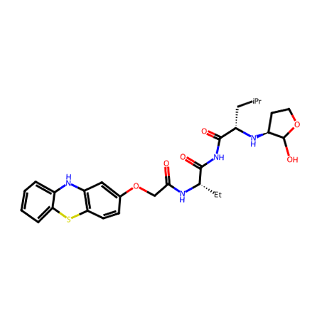 CC[C@H](NC(=O)COc1ccc2c(c1)Nc1ccccc1S2)C(=O)NC(=O)[C@H](CC(C)C)N[C@H]1CCOC1O